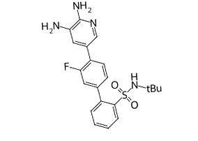 CC(C)(C)NS(=O)(=O)c1ccccc1-c1ccc(-c2cnc(N)c(N)c2)c(F)c1